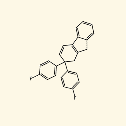 Fc1ccc(C2(c3ccc(F)cc3)C=CC3=C(Cc4ccccc43)C2)cc1